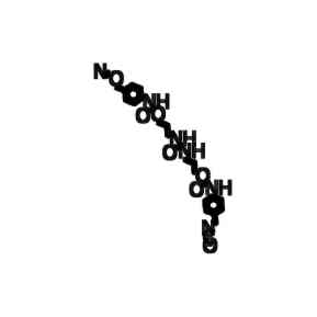 N#COCc1ccc(NC(=O)OCCCNC(=O)NCCCOC(=O)Nc2ccc(CN=C=O)cc2)cc1